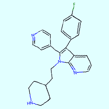 Fc1ccc(-c2c(-c3ccncc3)n(CCC3CCNCC3)c3ncccc23)cc1